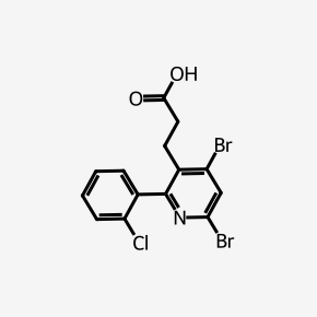 O=C(O)CCc1c(Br)cc(Br)nc1-c1ccccc1Cl